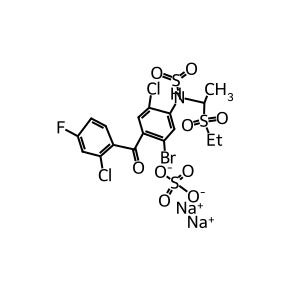 CCS(=O)(=O)C(C)N(c1cc(Br)c(C(=O)c2ccc(F)cc2Cl)cc1Cl)[SH](=O)=O.O=S(=O)([O-])[O-].[Na+].[Na+]